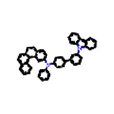 c1ccc(N(c2ccc(-c3cccc(-n4c5ccccc5c5ccccc54)c3)cc2)c2ccc3ccc4ccc5ccccc5c4c3c2)cc1